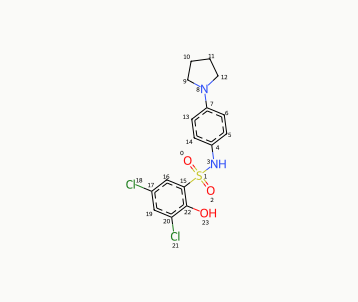 O=S(=O)(Nc1ccc(N2CCCC2)cc1)c1cc(Cl)cc(Cl)c1O